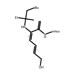 C=C(NCCCCCC)/C(=C\C=C\CO)NC(C)(CC)CC(C)CC